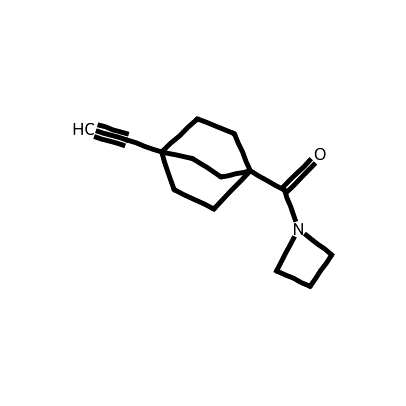 C#CC12CCC(C(=O)N3CCC3)(CC1)CC2